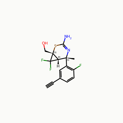 C#Cc1ccc(F)c([C@@]2(C)N=C(N)S[C@]3(CO)[C@H]2C3(F)F)c1